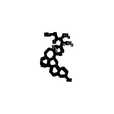 COc1ccc2cc(C(C)=O)ccc2c1CN1C(=O)[C@@H](NC(=O)[C@H](C)N(C)C(=O)OC(C)(C)C)CCc2ccccc21